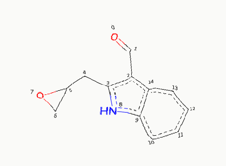 O=Cc1c(CC2CO2)[nH]c2ccccc12